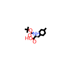 CC1CCC(C[C@H](NC(=O)OC(C)(C)C)C(=O)O)CC1